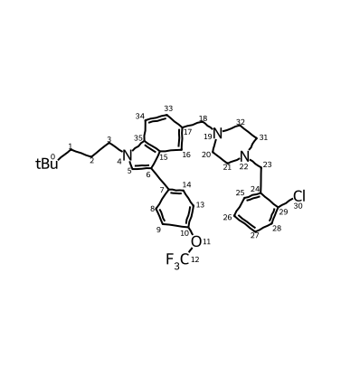 CC(C)(C)CCCn1cc(-c2ccc(OC(F)(F)F)cc2)c2cc(CN3CCN(Cc4ccccc4Cl)CC3)ccc21